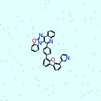 c1cncc(-c2cccc3c2oc2c(-c4ccc(-c5nc6ccccc6c6nc7oc8ccccc8n7c56)cc4)cccc23)c1